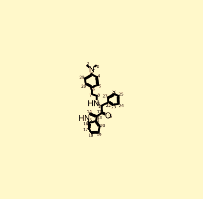 CN(C)c1ccc(CCN[C@@H](C(=O)c2c[nH]c3ccccc23)c2ccccc2)cc1